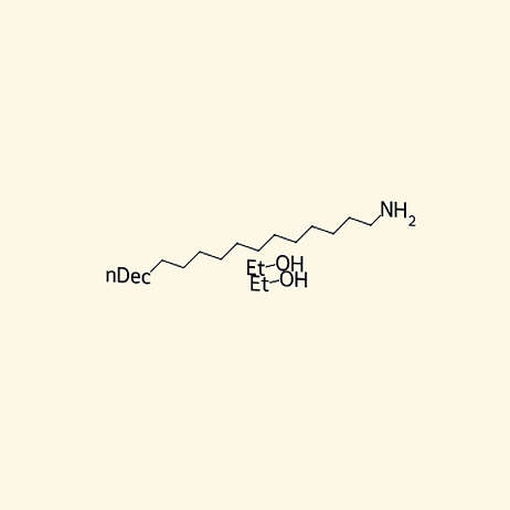 CCCCCCCCCCCCCCCCCCCCCCN.CCO.CCO